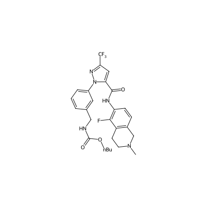 CCCCOC(=O)NCc1cccc(-n2nc(C(F)(F)F)cc2C(=O)Nc2ccc3c(c2F)CCN(C)C3)c1